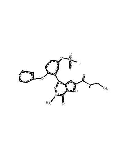 CCNC(=O)c1cc2c(-c3cc(NS(C)(=O)=O)ccc3Oc3ccccc3)nn(C)c(=O)c2[nH]1